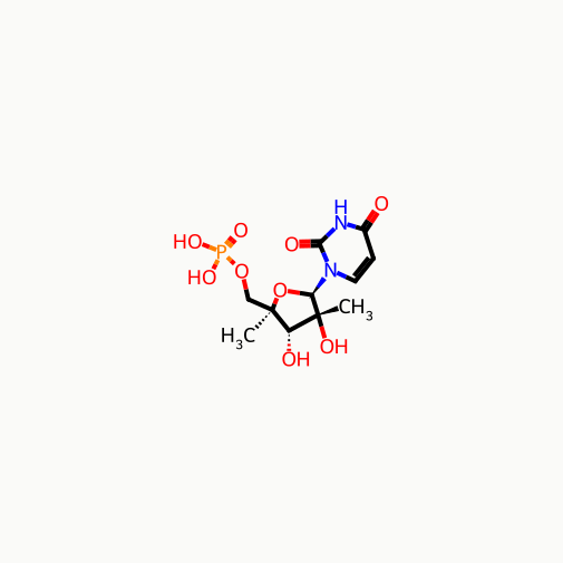 C[C@]1(O)[C@H](n2ccc(=O)[nH]c2=O)O[C@](C)(COP(=O)(O)O)[C@H]1O